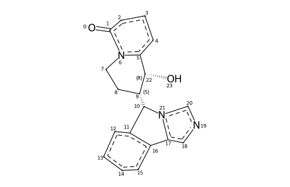 O=c1cccc2n1CC[C@@H](C1c3ccccc3-c3cncn31)[C@H]2O